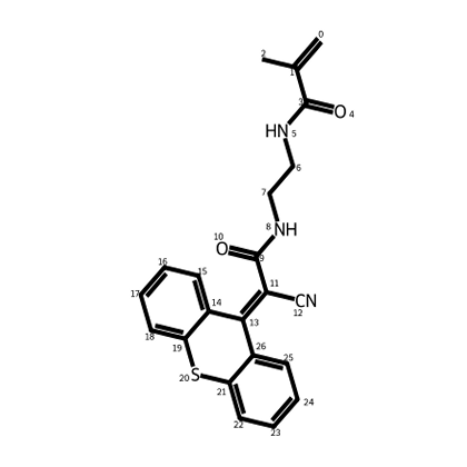 C=C(C)C(=O)NCCNC(=O)C(C#N)=C1c2ccccc2Sc2ccccc21